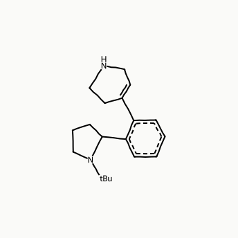 CC(C)(C)N1CCCC1c1ccccc1C1=CCNCC1